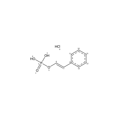 Cl.O=P(O)(O)OC=Cc1ccccc1